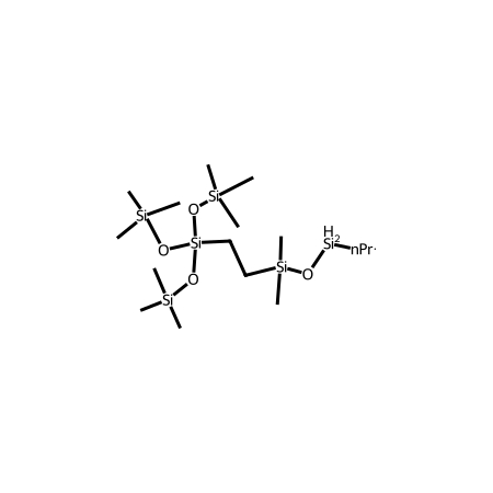 CC[CH][SiH2]O[Si](C)(C)CC[Si](O[Si](C)(C)C)(O[Si](C)(C)C)O[Si](C)(C)C